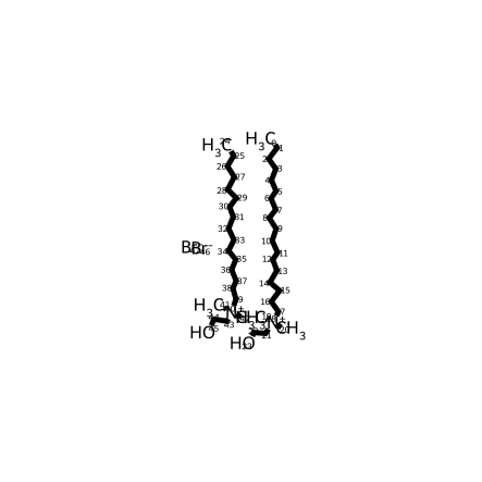 CCCCCCCCCCCCCCCCCC[N+](C)(C)CCO.CCCCCCCCCCCCCCCC[N+](C)(C)CCO.[Br-].[Br-]